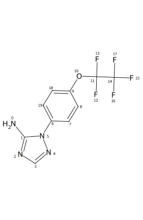 Nc1ncnn1-c1ccc(OC(F)(F)C(F)(F)F)cc1